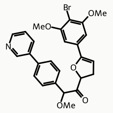 COc1cc(C2=CCC(C(=O)C(OC)c3ccc(-c4cccnc4)cc3)O2)cc(OC)c1Br